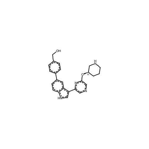 OCc1ccc(-c2ccc3[nH]cc(-c4cncc(O[C@@H]5CCCNC5)n4)c3c2)cc1